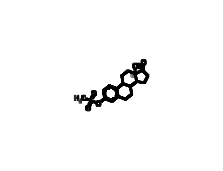 C[C@]12CCC3c4ccc(OS(C)(=O)=O)cc4CCC3C1CCC2=O